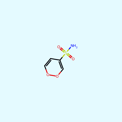 NS(=O)(=O)C1=COOC=C1